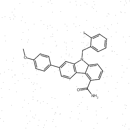 COc1ccc(-c2c[c]c3c4c(C(N)=O)cccc4n(Cc4ccccc4I)c3c2)cc1